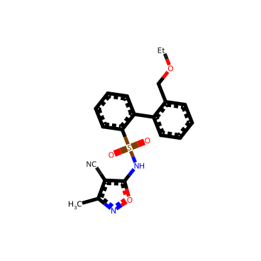 CCOCc1ccccc1-c1ccccc1S(=O)(=O)Nc1onc(C)c1C#N